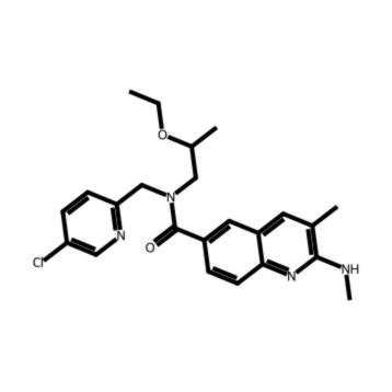 CCOC(C)CN(Cc1ccc(Cl)cn1)C(=O)c1ccc2nc(NC)c(C)cc2c1